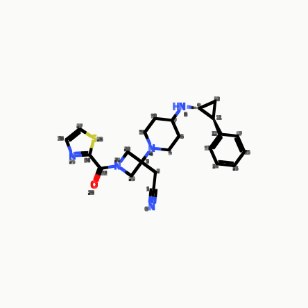 N#CCC1(N2CCC(N[C@@H]3C[C@H]3c3ccccc3)CC2)CN(C(=O)c2nccs2)C1